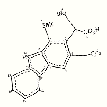 CSc1c(C(C(=O)O)C(C)(C)C)c(C)cc2c1[nH]c1ccccc12